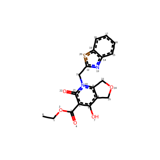 CCOC(=O)c1c(O)c2c(n(Cc3nc4ccccc4s3)c1=O)COC2